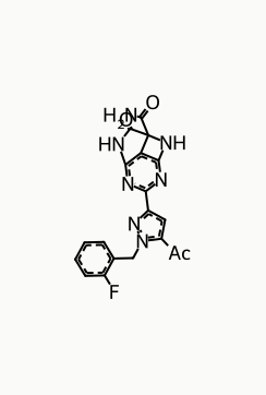 CC(=O)c1cc(-c2nc3c4c(n2)NC4(C(N)=O)C(=O)N3)nn1Cc1ccccc1F